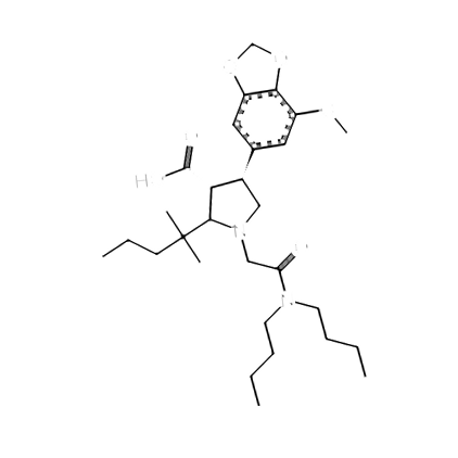 CCCCN(CCCC)C(=O)CN1C[C@H](c2cc(OC)c3c(c2)OCO3)[C@@H](C(=O)O)C1C(C)(C)CCC